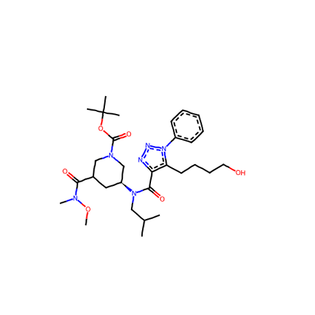 CON(C)C(=O)C1C[C@H](N(CC(C)C)C(=O)c2nnn(-c3ccccc3)c2CCCCO)CN(C(=O)OC(C)(C)C)C1